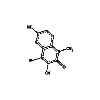 CC(C)c1c(C#N)c(=O)n(C)c2ccc(C#N)nc12